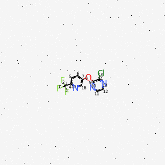 FC(F)(F)c1ccc(Oc2nccnc2Cl)cn1